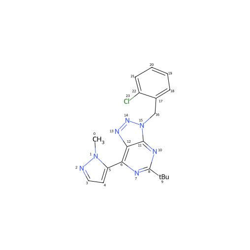 Cn1nccc1-c1nc(C(C)(C)C)nc2c1nnn2Cc1ccccc1Cl